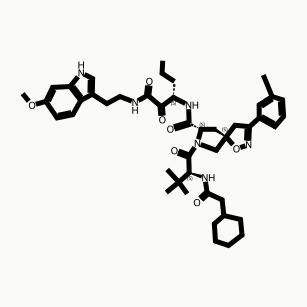 CCC[C@H](NC(=O)[C@@H]1C[C@]2(CC(c3cccc(C)c3)=NO2)CN1C(=O)[C@@H](NC(=O)CC1CCCCC1)C(C)(C)C)C(=O)C(=O)NCCc1c[nH]c2cc(OC)ccc12